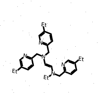 CCc1ccc(CN(C=CN(Cc2ccc(CC)cn2)Cc2ccc(CC)cn2)CC)nc1